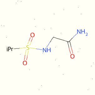 CC(C)S(=O)(=O)NCC(N)=O